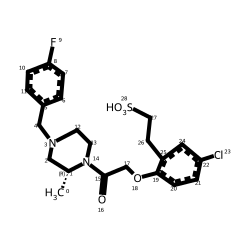 C[C@@H]1CN(Cc2ccc(F)cc2)CCN1C(=O)COc1ccc(Cl)cc1CCS(=O)(=O)O